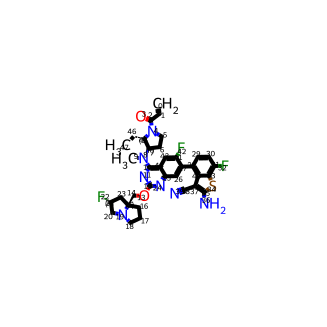 C=CC(=O)N1CC[C@@H](N(C)c2nc(OC[C@@]34CCCN3C[C@H](F)C4)nc3cc(-c4ccc(F)c5sc(N)c(C#N)c45)c(F)cc23)[C@@H]1CC